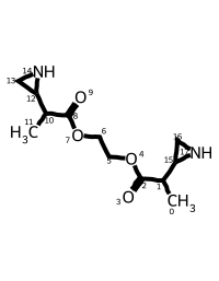 CC(C(=O)OCCOC(=O)C(C)C1CN1)C1CN1